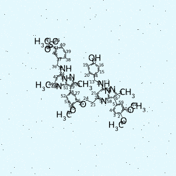 COc1ccc(-c2c(C)nn3c(NCc4ccc(O)cc4)cc(CCOc4cc(-c5c(C)nn6c(NCc7cccc(S(C)(=O)=O)c7)cc(C)nc56)ccc4OC)nc23)cc1OC